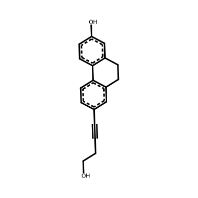 OCCC#Cc1ccc2c(c1)CCc1cc(O)ccc1-2